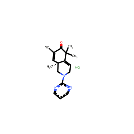 CC1(C)C(=O)C(C#N)=C[C@]2(C)CN(c3ncccn3)CC=C12.Cl